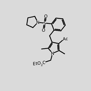 CCOC(=O)Cn1c(C)c(Cc2ccccc2S(=O)(=O)N2CCCC2)c(C(C)=O)c1C